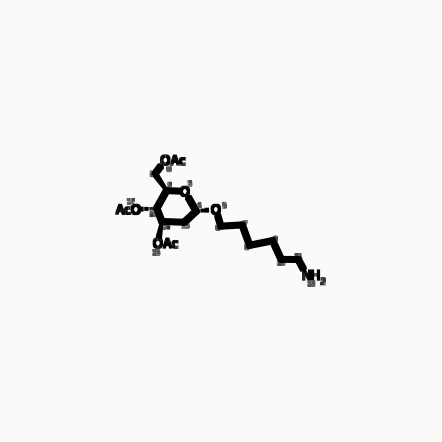 CC(=O)OC[C@H]1O[C@H](OCCCCCCN)C[C@@H](OC(C)=O)[C@@H]1OC(C)=O